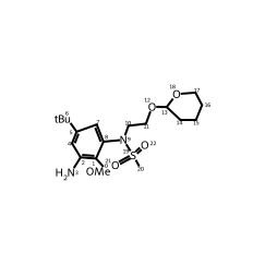 COc1c(N)cc(C(C)(C)C)cc1N(CCOC1CCCCO1)S(C)(=O)=O